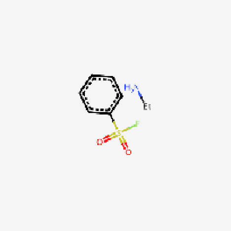 CCN.O=S(=O)(F)c1ccccc1